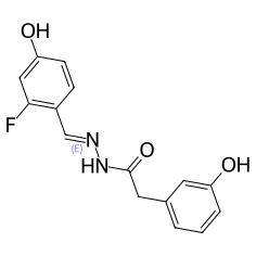 O=C(Cc1cccc(O)c1)N/N=C/c1ccc(O)cc1F